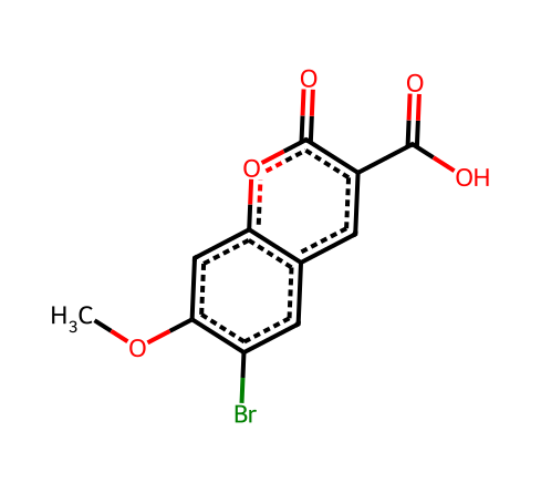 COc1cc2oc(=O)c(C(=O)O)cc2cc1Br